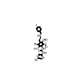 CCOc1c(Br)c(CCNCc2ccc(F)cc2)c(OCC)c(OCC)c1NC(=O)Nc1cnc(C#N)cn1